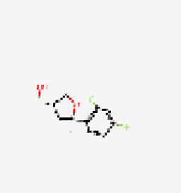 C[C@]1(c2ccc(F)cc2F)C[C@H](CO)CO1